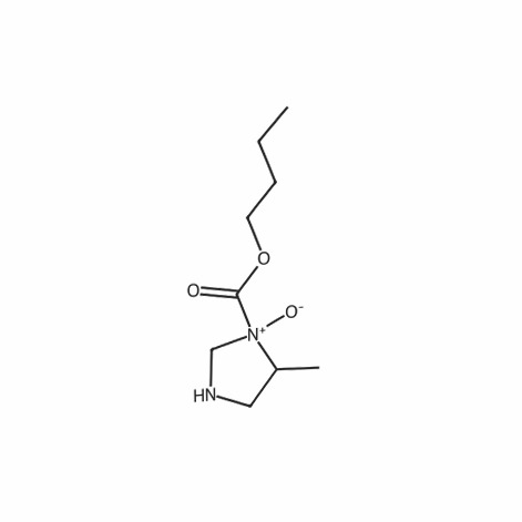 CCCCOC(=O)[N+]1([O-])CNCC1C